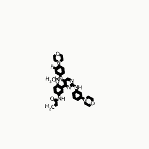 C=CC(=O)Nc1ccc(OC)c(-c2nc(Nc3cccc(N4CCOCC4)c3)ncc2Nc2ccc(N3CCOCC3)c(F)c2)c1